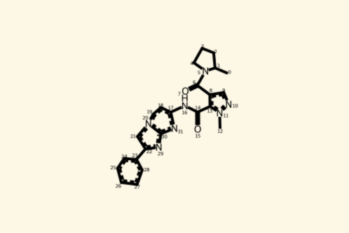 CC1CCCN1C(=O)c1cnn(C)c1C(=O)Nc1ccn2cc(-c3ccccc3)nc2n1